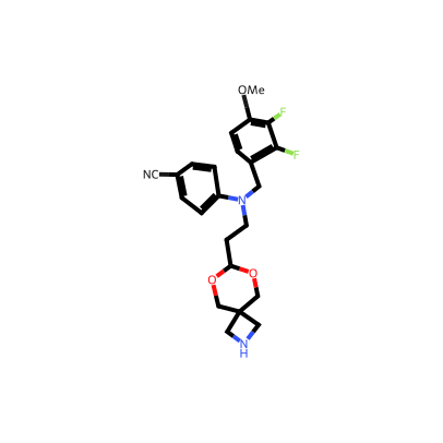 COc1ccc(CN(CCC2OCC3(CNC3)CO2)c2ccc(C#N)cc2)c(F)c1F